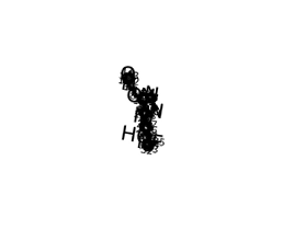 N#Cc1cnn2cc(OCCN3CCOCC3)cc(-c3cnc(N4CCC(O)(Cc5ncccc5F)CC4)cn3)c12